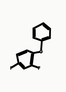 Fc1cc(I)ccc1Oc1ccccc1